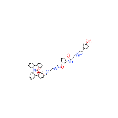 O=C(CCNCCc1ccc(O)cc1)Nc1cccc(C(=O)CNCCN2CCC(OC(=O)N(c3ccccc3-c3ccccc3)c3ccccc3-c3ccccc3)CC2)c1